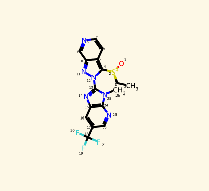 CC[S+]([O-])c1c2ccncc2nn1-c1nc2cc(C(F)(F)F)cnc2n1C